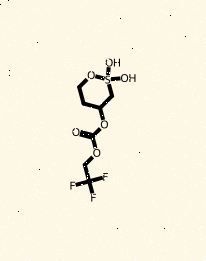 O=C(OCC(F)(F)F)OC1CCOS(O)(O)C1